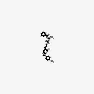 CC1CCC(n2cnc(CC(CCCNC(=O)OC(C)OC(=O)C3CCCCC3)C(=O)O)c2)CC1